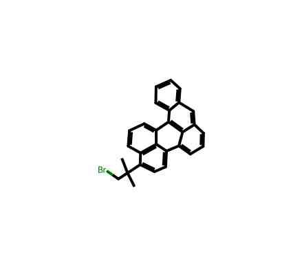 CC(C)(CBr)c1ccc2c3cccc4cc5ccccc5c(c5cccc1c25)c43